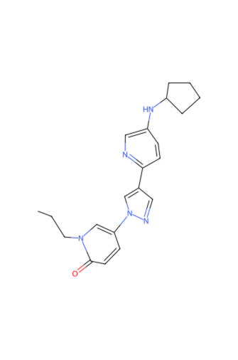 CCCn1cc(-n2cc(-c3ccc(NC4CCCC4)cn3)cn2)ccc1=O